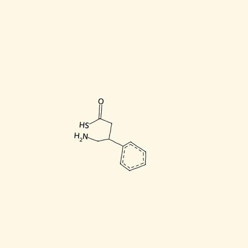 NCC(CC(=O)S)c1ccccc1